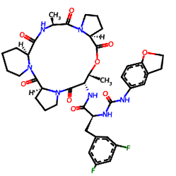 C[C@@H]1NC(=O)[C@@H]2CCCCN2C(=O)[C@@H]2CCCN2C(=O)[C@@H](NC(=O)[C@H](Cc2cc(F)cc(F)c2)NC(=O)Nc2ccc3c(c2)CCO3)[C@H](C)OC(=O)[C@@H]2CCCN2C1=O